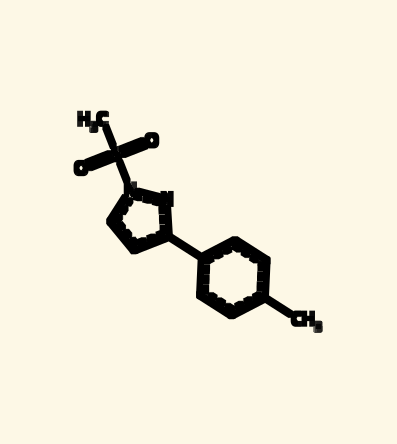 Cc1ccc(-c2ccn(S(C)(=O)=O)n2)cc1